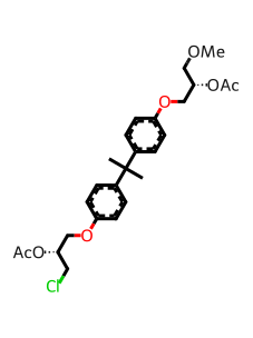 COC[C@@H](COc1ccc(C(C)(C)c2ccc(OC[C@H](CCl)OC(C)=O)cc2)cc1)OC(C)=O